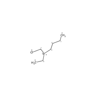 CCCC[Si](CC)CCl